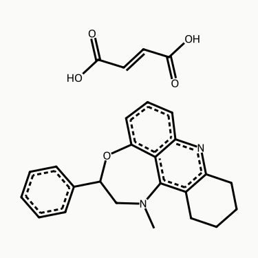 CN1CC(c2ccccc2)Oc2cccc3nc4c(c1c23)CCCC4.O=C(O)C=CC(=O)O